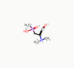 CN(C)C(=C=O)CP(C)(=O)O